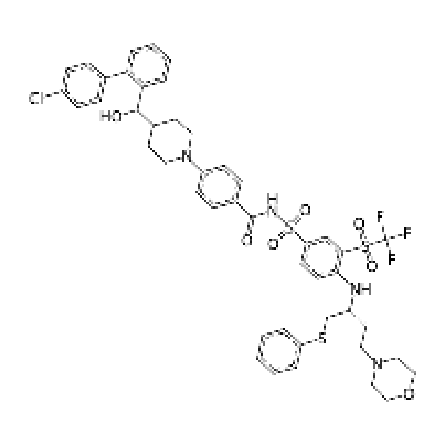 O=C(NS(=O)(=O)c1ccc(N[C@H](CCN2CCOCC2)CSc2ccccc2)c(S(=O)(=O)C(F)(F)F)c1)c1ccc(N2CCC(C(O)c3ccccc3-c3ccc(Cl)cc3)CC2)cc1